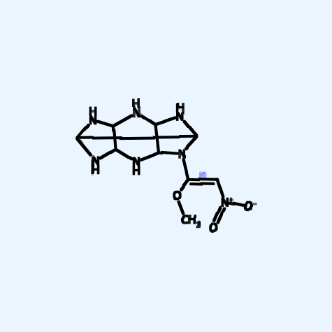 CO/C(=C\[N+](=O)[O-])N1C2NC3NC4NC3NC2NC41